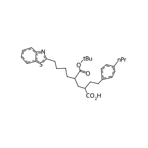 CCCc1ccc(CCC(CC(CCCCc2nc3ccccc3s2)C(=O)OC(C)(C)C)C(=O)O)cc1